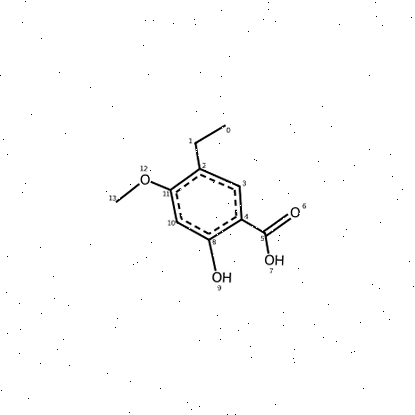 CCc1cc(C(=O)O)c(O)cc1OC